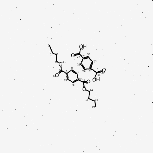 CCCCOC(=O)c1ccc(C(=O)OCCCC)cc1.O=C(O)c1ccc(C(=O)O)cc1